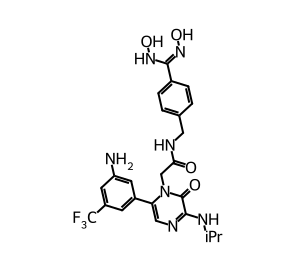 CC(C)Nc1ncc(-c2cc(N)cc(C(F)(F)F)c2)n(CC(=O)NCc2ccc(/C(=N/O)NO)cc2)c1=O